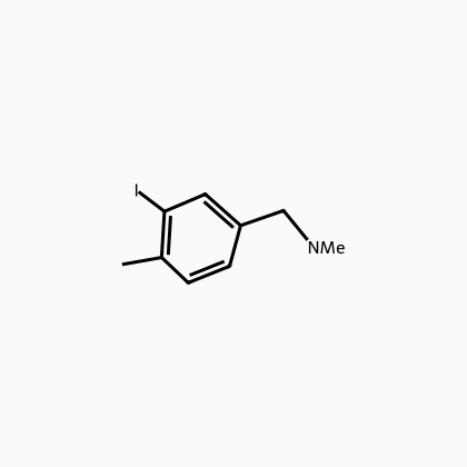 CNCc1ccc(C)c(I)c1